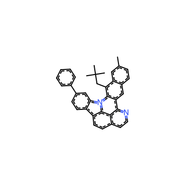 Cc1ccc2cc3c4nccc5ccc6c7ccc(-c8ccccc8)cc7n(c3c(CC(C)(C)C)c2c1)c6c54